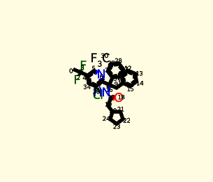 CC(F)(F)c1cnc(C(Cc2ccccc2)(NC(=O)CC2CCCC2)c2cccc(C(F)(F)F)c2)c(Cl)c1